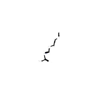 COCCN/C=N/C(N)=S